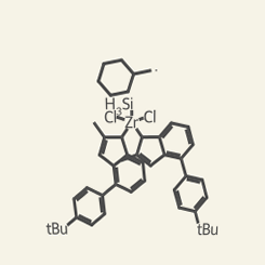 CC1=Cc2c(-c3ccc(C(C)(C)C)cc3)cccc2[CH]1[Zr]([SiH3])([Cl])([Cl])[CH]1C(C)=Cc2c(-c3ccc(C(C)(C)C)cc3)cccc21.[CH2]C1CCCCC1